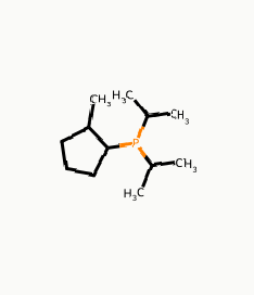 CC1CCCC1P(C(C)C)C(C)C